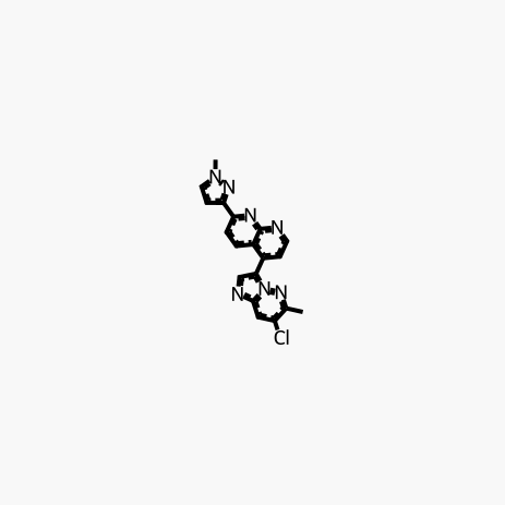 Cc1nn2c(-c3ccnc4nc(-c5ccn(C)n5)ccc34)cnc2cc1Cl